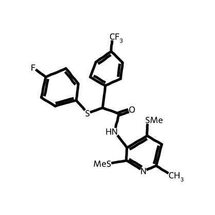 CSc1cc(C)nc(SC)c1NC(=O)C(Sc1ccc(F)cc1)c1ccc(C(F)(F)F)cc1